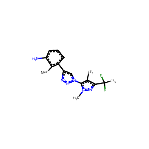 COc1c(N)cccc1-c1cn(-c2c(C(F)(F)F)c(C(F)(F)C(F)(F)F)nn2C)nn1